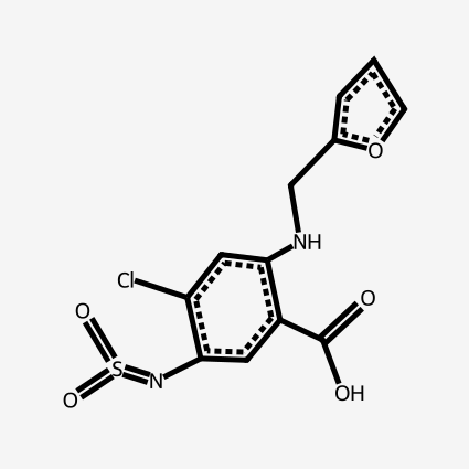 O=C(O)c1cc(N=S(=O)=O)c(Cl)cc1NCc1ccco1